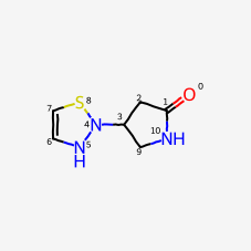 O=C1CC(N2NC=CS2)CN1